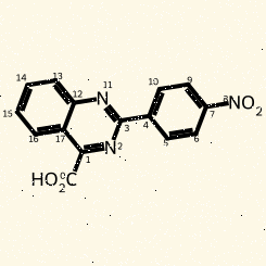 O=C(O)c1nc(-c2ccc([N+](=O)[O-])cc2)nc2ccccc12